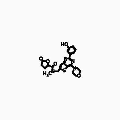 CN(Cc1cc2nc(-c3cccc(O)c3)nc(N3CCOCC3)c2s1)C(=O)[C@H]1CCC(=O)O1